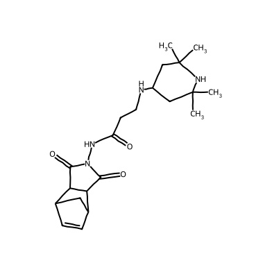 CC1(C)CC(NCCC(=O)NN2C(=O)C3C4C=CC(C4)C3C2=O)CC(C)(C)N1